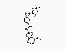 COc1ncnc2sc(NC(=O)N3CC[C@@H](NC(=O)OC(C)(C)C)C3)nc12